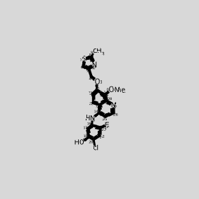 COc1c(OCc2csc(C)n2)ccc2c(Nc3cc(O)c(Cl)cc3F)ccnc12